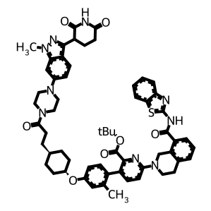 Cc1cc(O[C@H]2CC[C@H](CCC(=O)N3CCN(c4ccc5c(C6CCC(=O)NC6=O)nn(C)c5c4)CC3)CC2)ccc1-c1ccc(N2CCc3cccc(C(=O)Nc4nc5ccccc5s4)c3C2)nc1C(=O)OC(C)(C)C